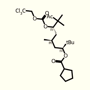 CC(=O)C(C)(C)[C@H](C[C@H](C)C[C@H](OC(=O)C1CCCC1)C(C)(C)C)OC(=O)OCC(Cl)(Cl)Cl